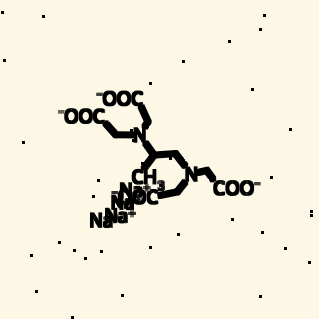 CC(CN(CC(=O)[O-])CC(=O)[O-])N(CC(=O)[O-])CC(=O)[O-].[Na+].[Na+].[Na+].[Na+]